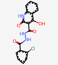 O=C(NNC(=O)c1c(O)c2ccccc2[nH]c1=O)c1ccccc1Cl